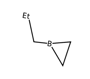 CCCB1CC1